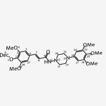 CCCCCCCCCCOc1c(OC)cc(C=CC(=O)NN2CCN(c3cc(OC)c(OC)c(OC)c3)CC2)cc1OC